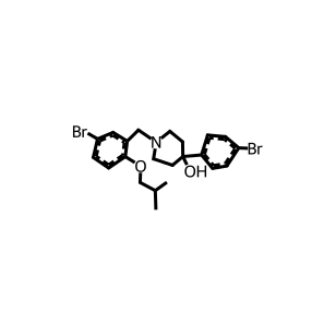 CC(C)COc1ccc(Br)cc1CN1CCC(O)(c2ccc(Br)cc2)CC1